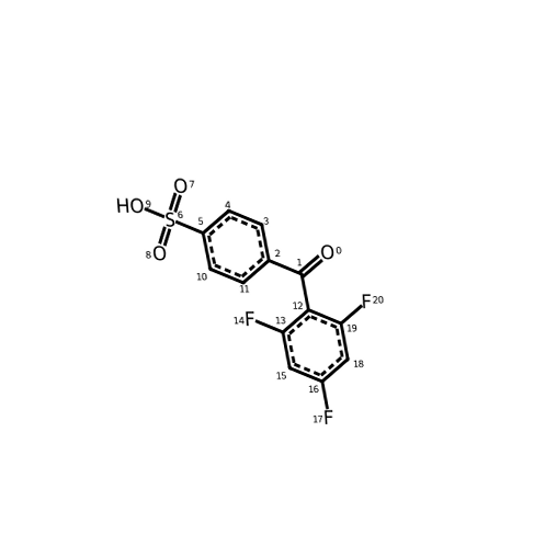 O=C(c1ccc(S(=O)(=O)O)cc1)c1c(F)cc(F)cc1F